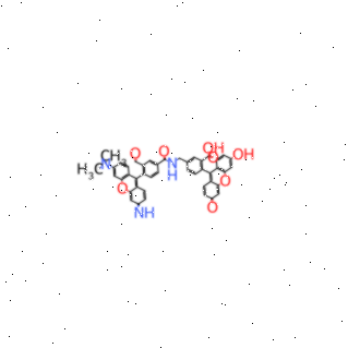 CN(C)c1ccc2c(-c3ccc(C(=O)NCc4ccc(-c5c6ccc(=O)cc-6oc6cc(O)ccc56)c(C(=O)O)c4)cc3C=O)c3ccc(=N)cc-3oc2c1